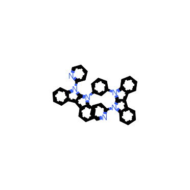 c1ccc(-n2c3ccccc3c3c4ccccc4n(-c4cccc(-n5c6ccccc6c6c7ccccc7n(-c7ccccn7)c65)c4)c32)nc1